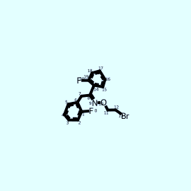 Fc1ccccc1CC(=NOCCBr)c1ccccc1F